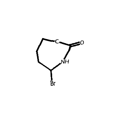 O=C1CCCCC(Br)N1